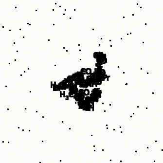 CCC1(Cn2ncc(-c3ccc(N4CCc5cccc(C(=O)Nc6nc7ccccc7s6)c5C4)nc3C(=O)O)c2C)CC(OCCN(CCC(=O)O)C(=O)OCc2ccc(NC(=O)CNC(=O)C(NC(=O)CCCCCN3C(=O)C=CC3=O)C(C)C)cc2)C=CC(C)(CC(C)C)C1